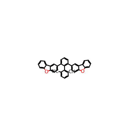 N#Cc1cccc(C#N)c1-c1c(-c2ccc3oc4ccccc4c3c2)cccc1-c1ccc2oc3ccccc3c2c1